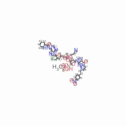 COP(O)(=S)OC[C@H]1O[C@@H](n2cnc3c(=O)n4ccn(CCc5ccc([N+](=O)[O-])cc5)c4nc32)C[C@@H]1OP(=S)(OCCC#N)OC[C@@H]1C[C@@H](CF)[C@H](n2cnc3c(NC(=O)c4ccccc4)ncnc32)O1